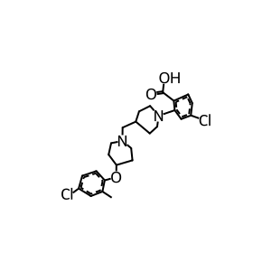 Cc1cc(Cl)ccc1OC1CCN(CC2CCN(c3cc(Cl)ccc3C(=O)O)CC2)CC1